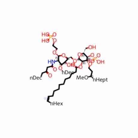 CCCCCC/C=C\CCCCCCCCCC(=O)O[C@H]1[C@H](OC[C@H]2O[C@H](OCCOP(=O)(O)O)[C@H](NC(=O)CC(=O)CCCCCCCCCCC)[C@@H](OCCCCCCCCCC)[C@@H]2O)O[C@H](CO)[C@@H](OP(=O)(O)O)[C@@H]1OCC[C@@H](CCCCCCC)OC